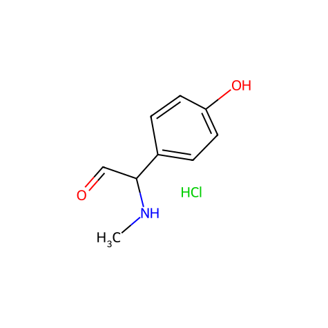 CNC(C=O)c1ccc(O)cc1.Cl